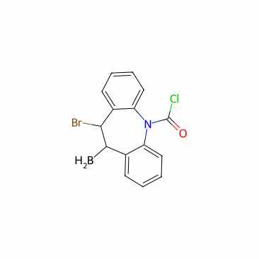 BC1c2ccccc2N(C(=O)Cl)c2ccccc2C1Br